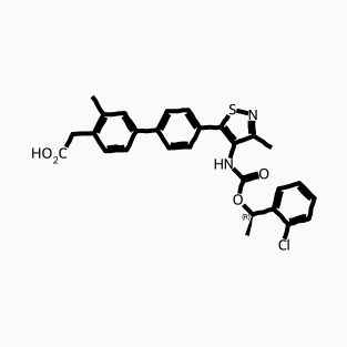 Cc1cc(-c2ccc(-c3snc(C)c3NC(=O)O[C@H](C)c3ccccc3Cl)cc2)ccc1CC(=O)O